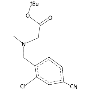 CN(CC(=O)OC(C)(C)C)Cc1ccc(C#N)cc1Cl